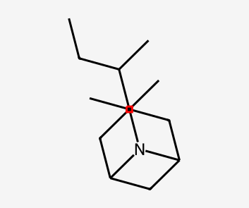 CCC(C)C1CC2CC(C1)N2C(C)C